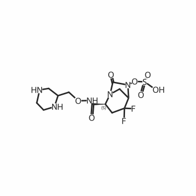 O=C(NOCC1CNCCN1)[C@@H]1CC(F)(F)C2CN1C(=O)N2OS(=O)(=O)O